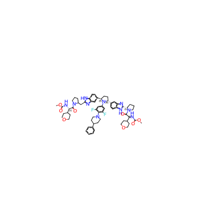 COC(=O)N[C@H](C(=O)N1CCCC1Cc1nc2cc([C@H]3CC[C@H](c4ccc5[nH]c([C@@H]6CCCN6C(=O)[C@@H](NC(=O)OC)C6CCOCC6)nc5c4)N3c3cc(F)c(N4CCC(c5ccccc5)CC4)c(F)c3)ccc2[nH]1)C1CCOCC1